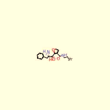 CC(C)CCNC(=O)c1ccoc1[C@@H](O)[C@@H](N)Cc1ccccc1